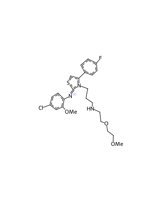 COCCOCCNCCCn1c(-c2ccc(F)cc2)cs/c1=N\c1ccc(Cl)cc1OC